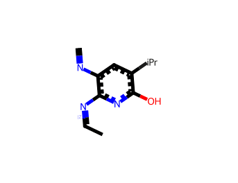 C=Nc1cc(C(C)C)c(O)nc1/N=C\C